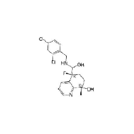 C[C@]1(O)CC[C@@](F)(C(O)NCc2ccc(Cl)cc2Cl)c2cccnc21